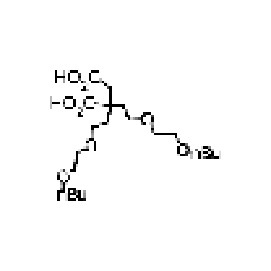 CCCCOCCOCCC(CCOCCOCCCC)(CC(=O)O)C(=O)O